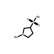 CC(C)(C)N1CCC(S(=O)(=O)C(C)(C)C)C1